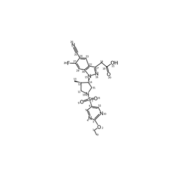 CCOc1ncc(S(=O)(=O)N2C[C@@H](C)[C@@H](n3nc(CC(=O)O)c4cc(C#N)c(F)cc43)C2)cn1